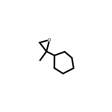 [CH2]C1(C2CCCCC2)CO1